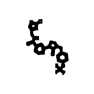 O=C(NCc1cnc(Cl)s1)c1ccnc(N2CCN(Cc3ccc(OC(F)(F)F)cc3)C2=O)c1